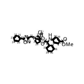 COC(=O)c1ccc(NC(C(=O)O[C@H]2C[N+]3(Cc4noc(-c5ccccc5)n4)CCC2CC3)c2ccccc2)cc1.[Cl-]